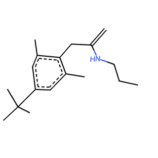 C=C(Cc1c(C)cc(C(C)(C)C)cc1C)NCCC